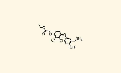 CCOC(=O)COc1ccc(Oc2ccc(O)c(CN)c2)c(Cl)c1Cl